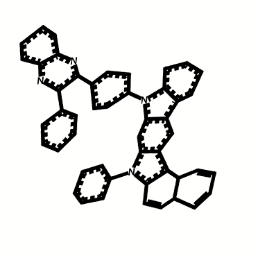 C1=CC2C=Cc3c(c4cc5c6ccccc6n(-c6ccc(-c7nc8ccccc8nc7-c7ccccc7)cc6)c5cc4n3-c3ccccc3)C2C=C1